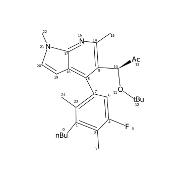 CCCCc1c(C)c(F)cc(-c2c([C@H](OC(C)(C)C)C(C)=O)c(C)nc3c2ccn3C)c1C